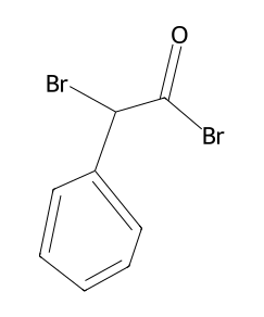 O=C(Br)C(Br)c1ccccc1